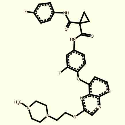 CN1CCN(CCOc2cnc3nccc(Oc4ccc(NC(=O)C5(C(=O)Nc6ccc(F)cc6)CC5)cc4F)c3n2)CC1